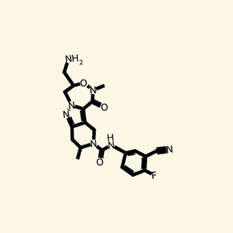 CC1Cc2nn3c(c2CN1C(=O)Nc1ccc(F)c(C#N)c1)C(=O)N(C)OC(CN)C3